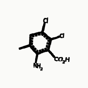 Cc1cc(Cl)c(Cl)c(C(=O)O)c1N